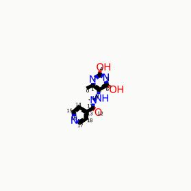 Cc1nc(O)nc(O)c1N[N]C(=O)c1ccncc1